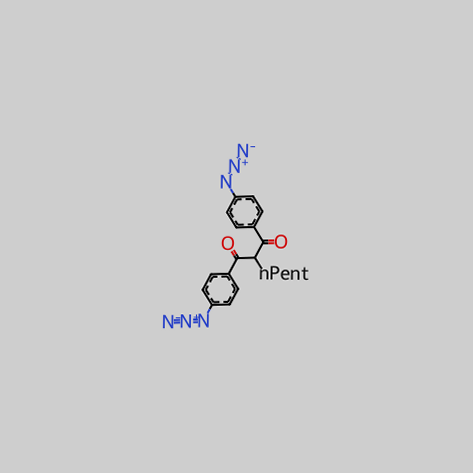 CCCCCC(C(=O)c1ccc(N=[N+]=[N-])cc1)C(=O)c1ccc(N=[N+]=[N-])cc1